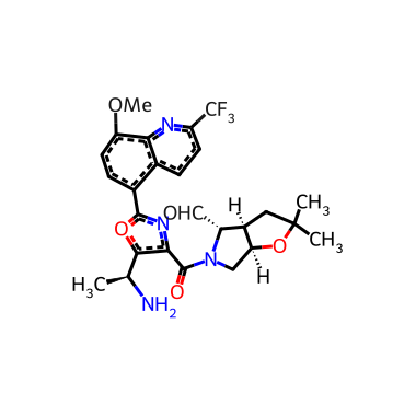 COc1ccc(-c2nc(C(=O)N3C[C@@H]4OC(C)(C)C[C@@H]4[C@H]3C=O)c([C@H](C)N)o2)c2ccc(C(F)(F)F)nc12